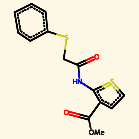 COC(=O)c1ccsc1NC(=O)CSc1ccccc1